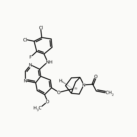 C=CC(=O)N1CC2CCC1C[C@@H]2Oc1cc2c(Nc3ccc(Cl)c(Cl)c3F)ncnc2cc1OC